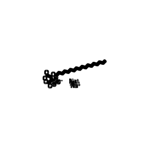 CCCCCCCCCCCCCCCCCCOC(C(=O)[O-])C(C(=O)[O-])S(=O)(=O)[O-].[Na+].[Na+].[Na+]